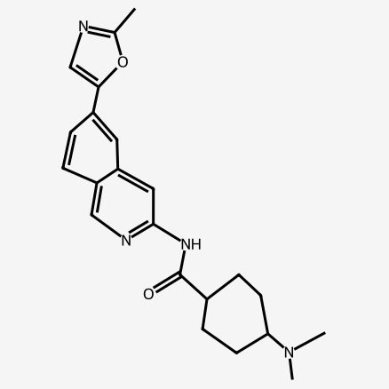 Cc1ncc(-c2ccc3cnc(NC(=O)C4CCC(N(C)C)CC4)cc3c2)o1